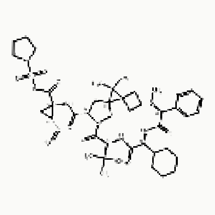 C=C[C@@H]1C[C@]1(NC(=O)[C@@H]1C[C@@]2(CN1C(=O)[C@@H](NC(=O)[C@@H](NC(=O)[C@@H](OC)c1ccccc1)C1CCCCC1)C(C)(C)C)C(C)(C)C21CCC1)C(=O)NS(=O)(=O)N1CCCC1